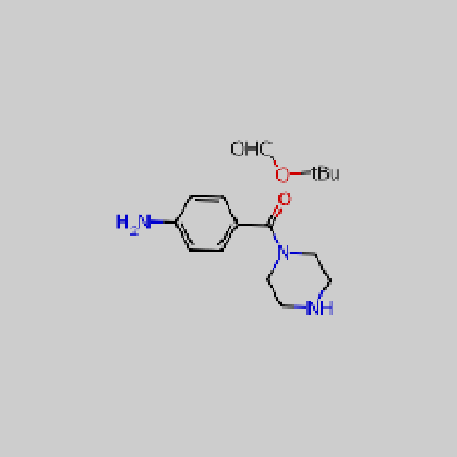 CC(C)(C)OC=O.Nc1ccc(C(=O)N2CCNCC2)cc1